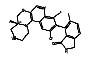 Cc1ccc2c(c1-c1c(Cl)cc3c4c(cnc3c1F)OC[C@H]1CNCCN41)C(=O)NC2